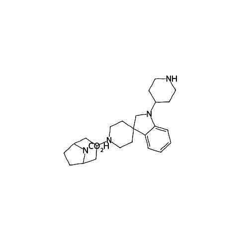 O=C(O)N1C2CCC1CC(N1CCC3(CC1)CN(C1CCNCC1)c1ccccc13)C2